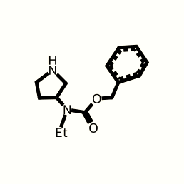 CCN(C(=O)OCc1ccccc1)C1CCNC1